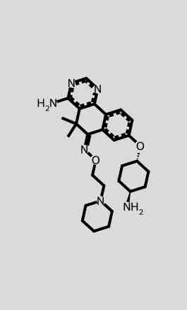 CC1(C)/C(=N/OCCN2CCCCC2)c2cc(O[C@H]3CC[C@H](N)CC3)ccc2-c2ncnc(N)c21